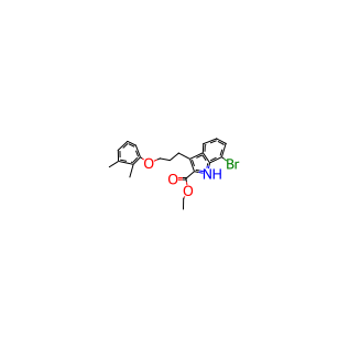 CCOC(=O)c1[nH]c2c(Br)cccc2c1CCCOc1cccc(C)c1C